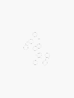 C1=Cc2c(cccc2-c2cc(-c3ccc(-c4nc(-c5ccccc5)nc(-c5cccc6oc7ccccc7c56)n4)c4ccccc34)c3c(c2)oc2ccccc23)CC1